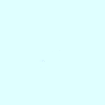 COCCC(=O)NCC(=O)C(=O)/C=C/c1ccccc1